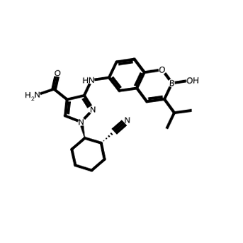 CC(C)C1=Cc2cc(Nc3nn([C@@H]4CCCC[C@H]4C#N)cc3C(N)=O)ccc2OB1O